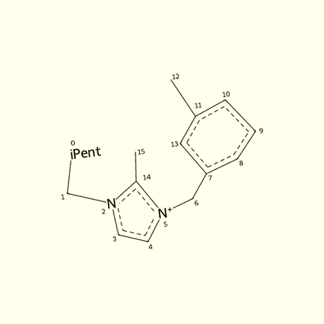 CCCC(C)Cn1cc[n+](Cc2cccc(C)c2)c1C